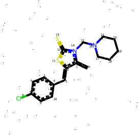 C=c1/c(=C/c2ccc(Cl)cc2)sc(=S)n1CN1CCCCC1